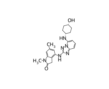 Cc1cc(Nc2nc3cccc(N[C@H]4CC[C@@H](O)CC4)n3n2)c2c(c1)N(C)C(=O)C2